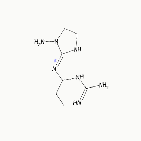 CCC(/N=C1\NCCN1N)NC(=N)N